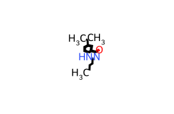 CCCCc1nc(=O)c2cc(C(C)C)ccc2[nH]1